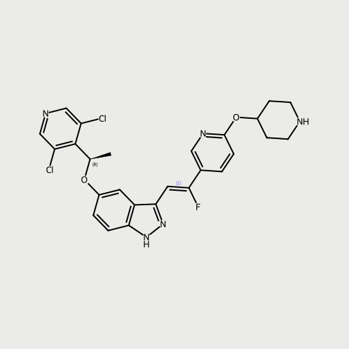 C[C@@H](Oc1ccc2[nH]nc(/C=C(\F)c3ccc(OC4CCNCC4)nc3)c2c1)c1c(Cl)cncc1Cl